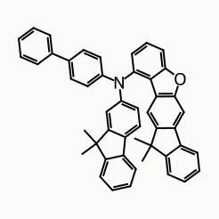 CC1(C)c2ccccc2-c2ccc(N(c3ccc(-c4ccccc4)cc3)c3cccc4oc5cc6c(cc5c34)C(C)(C)c3ccccc3-6)cc21